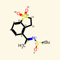 CC(=N[S+]([O-])C(C)(C)C)c1cccc2c1CCS2(=O)=O